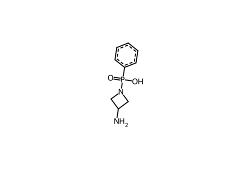 NC1CN(P(=O)(O)c2ccccc2)C1